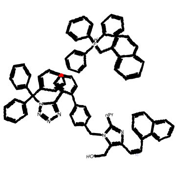 CCCc1nc(/C=C\c2cccc3ccccc23)c(CO)n1Cc1ccc(-c2ccccc2-c2nnnn2C(c2ccccc2)(c2ccccc2)c2ccccc2)cc1.c1ccc([PH](Cc2cccc3ccccc23)(c2ccccc2)c2ccccc2)cc1